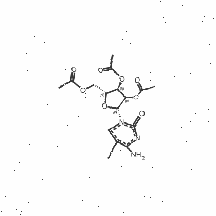 CC(=O)OC[C@H]1O[C@@H](n2cc(C)c(N)nc2=O)[C@H](OC(C)=O)[C@@H]1OC(C)=O